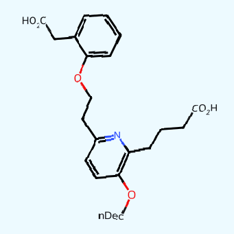 CCCCCCCCCCOc1ccc(CCOc2ccccc2CC(=O)O)nc1CCCC(=O)O